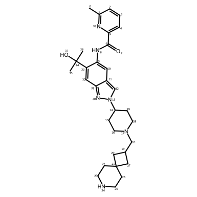 Cc1cccc(C(=O)Nc2cc3cn(C4CCN(CC5CC6(CCNCC6)C5)CC4)nc3cc2C(C)(C)O)n1